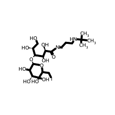 CC(C)(C)NCCCNC(=O)[C@H](O)[C@@H](O)[C@H](O[C@@H]1OC(CI)C(O)(O)[C@H](O)C1O)[C@H](O)CO